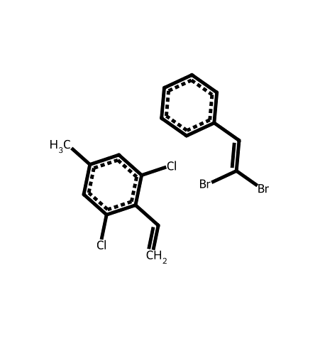 BrC(Br)=Cc1ccccc1.C=Cc1c(Cl)cc(C)cc1Cl